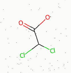 [O]C(=O)C(Cl)Cl